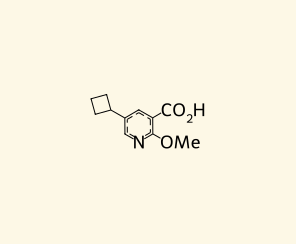 COc1ncc(C2CCC2)cc1C(=O)O